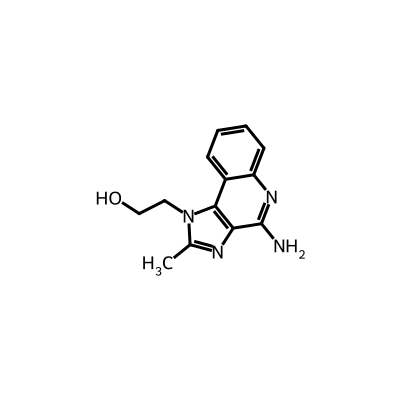 Cc1nc2c(N)nc3ccccc3c2n1CCO